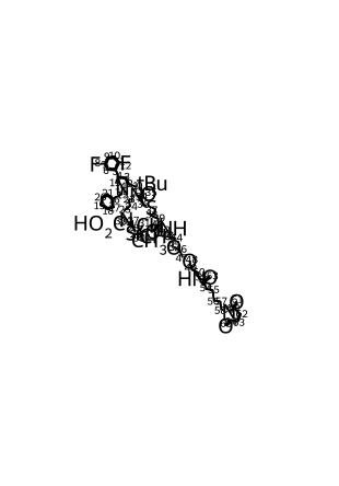 CC(C)(C)[C@H](c1cc(-c2cc(F)ccc2F)cn1Cc1ccccc1)N(CCCN(CC[Si](C)(C)C)C(=O)O)C(=O)CSCCC(=O)NCCOCCOCCNC(=O)CCCCCN1C(=O)C=CC1=O